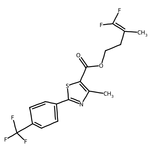 CC(CCOC(=O)c1sc(-c2ccc(C(F)(F)F)cc2)nc1C)=C(F)F